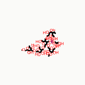 CCC1C(CO)OC(COCC2C(CO)OC(COCC3C(CO)OC(COCC4C(O)C(C)OC(COC)C4O)C(O)C3O)C(OCC3OC(CO)C(O)C(OC(C)=O)C3O)C2COP(OO)OCC(O)CO)C(O)C1O